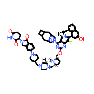 C#Cc1cccc2cc(O)cc(-c3ncc4c(N5CC6CC7CCC7CC(C5)N6)nc(OC[C@H]5CC[C@@H](CN6CCN(CC7CCN(c8ccc9c(c8)CN(C8CCC(=O)NC8=O)C9=O)CC7)CC6)N5C)nc4c3F)c12